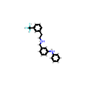 FC(F)(F)c1cccc(CCNCc2cccc(Nc3ccccc3)c2)c1